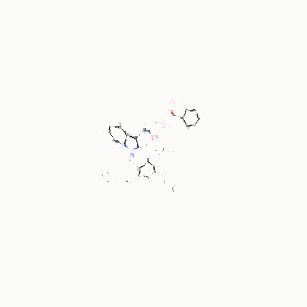 COc1cc(CCCC(C)C)cc(OC)c1Cn1cc(C[C@H](O)COC(=O)c2ccccc2)c2ccccc21